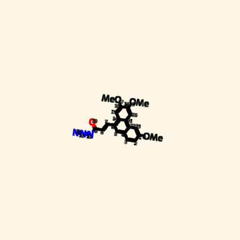 COc1ccc2cc(/C=C/C(=O)N=[N+]=[N-])c3cc(OC)c(OC)cc3c2c1